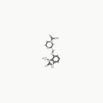 Cn1c(=O)[nH]c2cccc(OC[C@H]3CN(C(=O)O)CCO3)c21